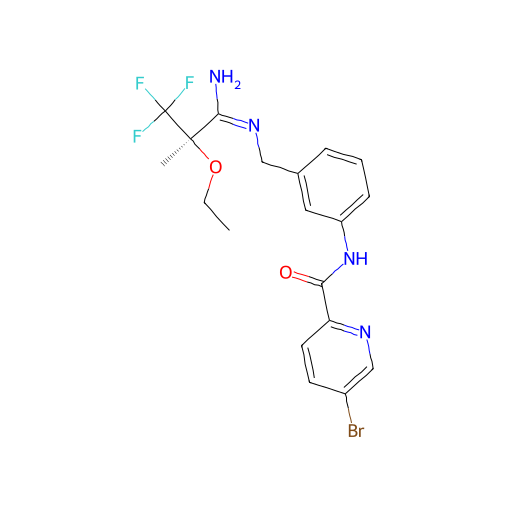 CCO[C@](C)(/C(N)=N\Cc1cccc(NC(=O)c2ccc(Br)cn2)c1)C(F)(F)F